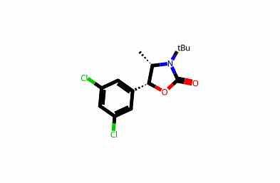 C[C@H]1[C@@H](c2cc(Cl)cc(Cl)c2)OC(=O)N1C(C)(C)C